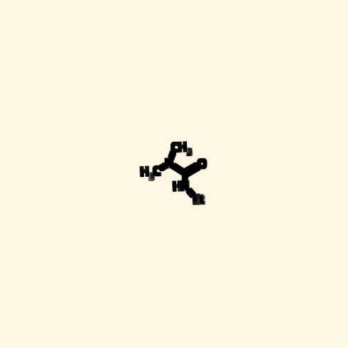 [CH2]CNC(=O)N(C)C